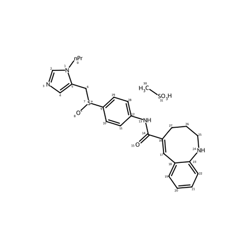 CCCn1cncc1C[S+]([O-])c1ccc(NC(=O)/C2=C/c3ccccc3NCCC2)cc1.CS(=O)(=O)O